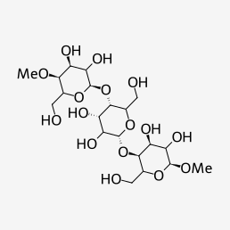 CO[C@H]1OC(CO)[C@@H](O[C@H]2OC(CO)[C@@H](O[C@H]3OC(CO)[C@@H](OC)[C@@H](O)C3O)[C@@H](O)C2O)[C@@H](O)C1O